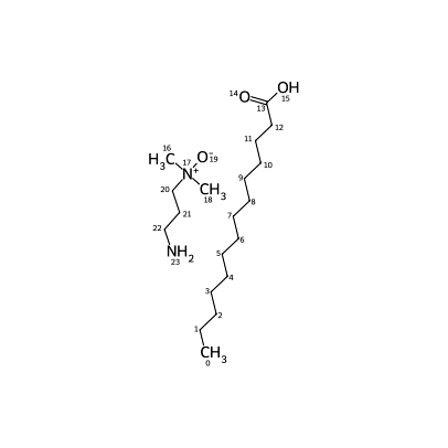 CCCCCCCCCCCCCC(=O)O.C[N+](C)([O-])CCCN